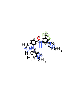 C/C(=C\N(N)c1cc(C(=O)Nc2cc(N3CCN(C)CC3)c(F)c(C(F)(F)F)c2)ccc1C)c1cnn(C)c1C